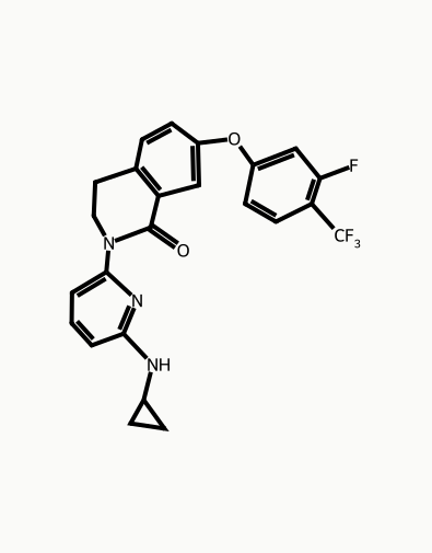 O=C1c2cc(Oc3ccc(C(F)(F)F)c(F)c3)ccc2CCN1c1cccc(NC2CC2)n1